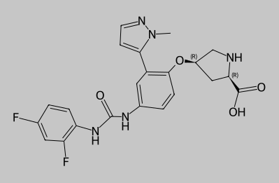 Cn1nccc1-c1cc(NC(=O)Nc2ccc(F)cc2F)ccc1O[C@H]1CN[C@@H](C(=O)O)C1